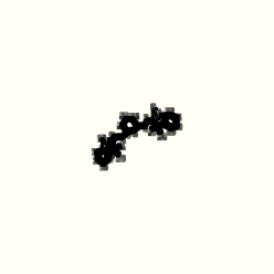 CN1/C(=C/C=C2C=C(/C=C/C3=[N+](C)c4ccccc4C3(C)C)CCC/2)C(C)(C)c2ccccc21